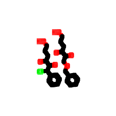 O=C(CCCO)C(=O)C(Cl)c1ccccc1.O=C(CCCO)C(=O)COCc1ccccc1